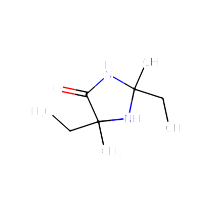 CCC1(C)NC(=O)C(C)(CC)N1